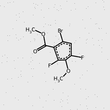 COC(=O)c1c(Br)cc(F)c(OC)c1F